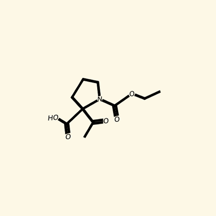 CCOC(=O)N1CCCC1(C(C)=O)C(=O)O